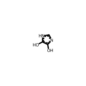 Oc1nc[nH]c1O